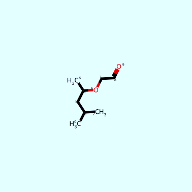 CC(C)CC(C)OCC=O